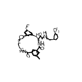 Cc1cc2cc(c1)C(=O)N[C@H]([C@H](O)CNCc1cccc(C(F)(F)F)c1)Cc1cc(F)cc(c1)OCCCCNC2=O